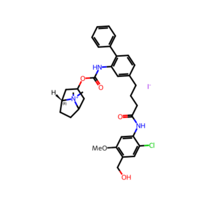 COc1cc(NC(=O)CCCc2ccc(-c3ccccc3)c(NC(=O)OC3CC4CC[C@H](C3)[N+]4(C)C)c2)c(Cl)cc1CO.[I-]